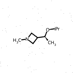 CC(C)O[C@@H](C)C1CN(C)C1